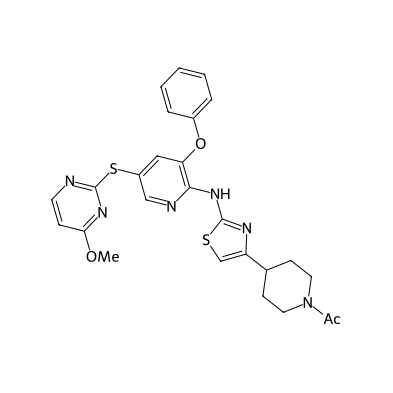 COc1ccnc(Sc2cnc(Nc3nc(C4CCN(C(C)=O)CC4)cs3)c(Oc3ccccc3)c2)n1